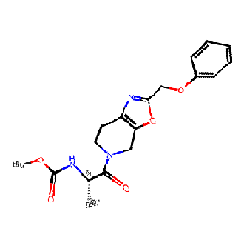 CC(C)(C)OC(=O)N[C@H](C(=O)N1CCc2nc(COc3ccccc3)oc2C1)C(C)(C)C